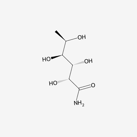 C[C@@H](O)[C@H](O)[C@H](O)[C@@H](O)C(N)=O